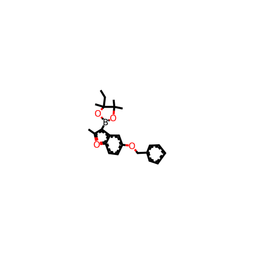 CCC1(C)OB(c2c(C)oc3ccc(OCc4ccccc4)cc23)OC1(C)C